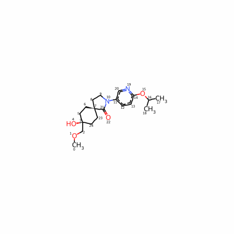 COC[C@]1(O)CC[C@]2(CCN(c3ccc(OC(C)C)nc3)C2=O)CC1